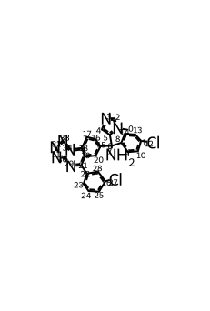 Cn1cncc1C(N)(c1ccc(Cl)cc1)c1ccc2c(c1)c(-c1cccc(Cl)c1)nc1nnnn12